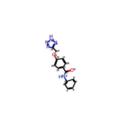 O=C(Nc1ccccc1)c1ccc(OCc2nn[nH]n2)cc1